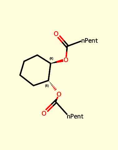 CCCCCC(=O)O[C@@H]1CCCC[C@H]1OC(=O)CCCCC